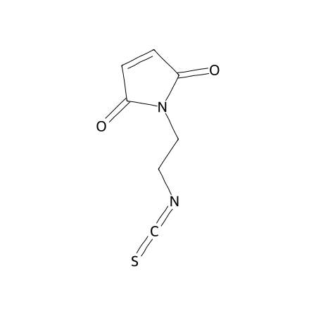 O=C1C=CC(=O)N1CCN=C=S